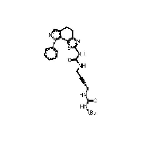 CC(C)(C)NC(=O)NCC#CCNC(=O)Nc1nc2c(s1)-c1c(cnn1-c1ccccc1)CC2